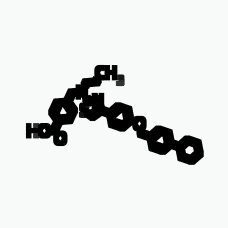 CCCN(Cc1ccc(C(=O)O)cc1)c1nc(-c2ccc(OCc3ccc(C4CCCCC4)cc3)cc2)cs1